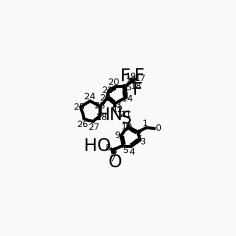 CCc1ccc(C(=O)O)cc1SNc1cc(C(F)(F)F)ccc1C1CCCCC1